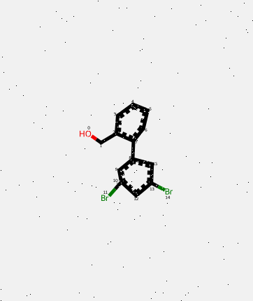 OCc1ccccc1-c1cc(Br)cc(Br)c1